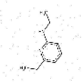 CCNc1cccc(CC)n1